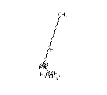 CCCCCCCCCCCCCCCCCC(F)CCCCCCCS(=O)(=O)NCCC[N+](C)(C)C